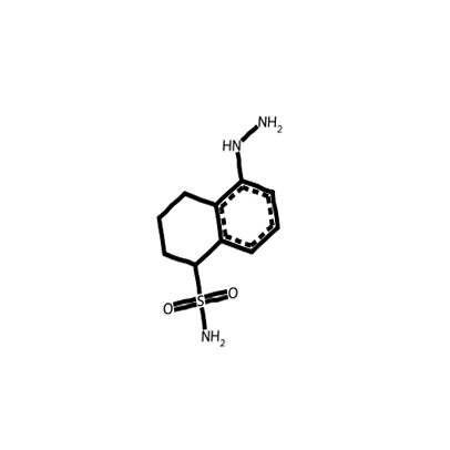 NNc1cccc2c1CCCC2S(N)(=O)=O